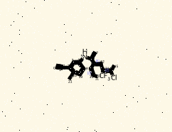 C#Cc1cc(NC(=C)C(/C=C\C)=C/C(=C(\C)Cl)C(F)(F)F)ccc1C